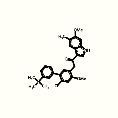 COc1cc2[nH]cc(C(=O)Cc3cc(-c4cccc([N+](C)(C)C)c4)c(Cl)cc3OC)c2cc1C